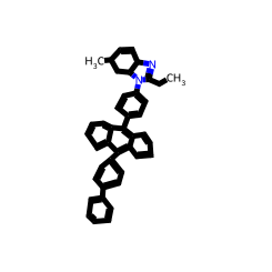 CCC1=NC2C=CC(C)CC2N1c1ccc(-c2c3ccccc3c(-c3ccc(-c4ccccc4)cc3)c3ccccc23)cc1